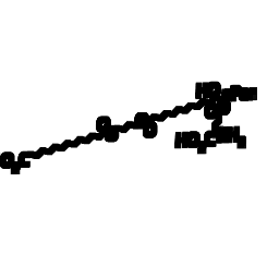 CCCCCC(OC(=O)CC[C@@H](N)C(=O)O)C(O)CCCCCCCCCCC(=O)OCCCCOC(=O)CCCCCCCCCCCCC(=O)O